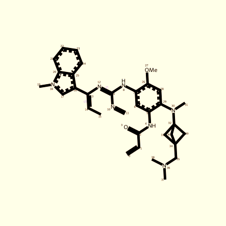 C=CC(=O)Nc1cc(N/C(N=C)=N/C(=C\C)c2cn(C)c3ccccc23)c(OC)cc1N(C)C12CC(CN(C)C)(C1)C2